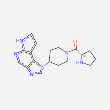 O=C([C@@H]1CCCN1)N1CCC(n2cnc3cnc4[nH]ccc4c32)CC1